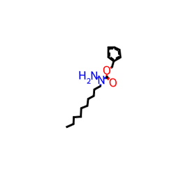 CCCCCCCCCCN(N)C(=O)OCc1ccccc1